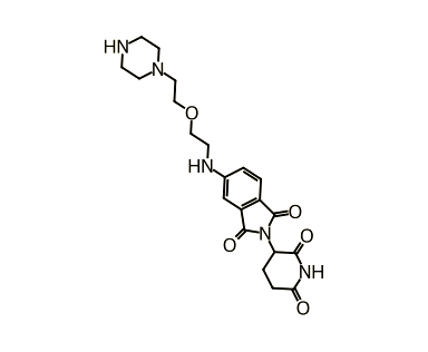 O=C1CCC(N2C(=O)c3ccc(NCCOCCN4CCNCC4)cc3C2=O)C(=O)N1